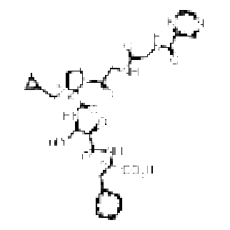 CCCC(NC(=O)[C@@H]1[C@@H](CC2CC2)CCN1C(=O)CNC(=O)CNC(=O)c1cnccn1)C(=O)C(=O)N[C@@H](Cc1ccccc1)C(=O)O